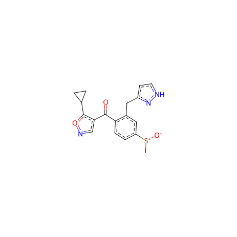 C[S+]([O-])c1ccc(C(=O)c2cnoc2C2CC2)c(Cc2cc[nH]n2)c1